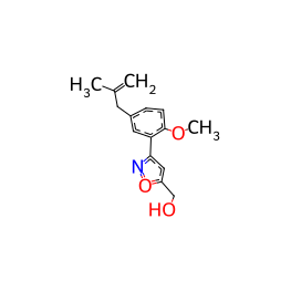 C=C(C)Cc1ccc(OC)c(-c2cc(CO)on2)c1